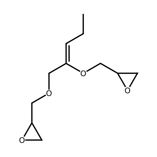 CCC=C(COCC1CO1)OCC1CO1